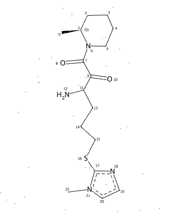 C[C@H]1CCCCN1C(=O)C(=O)C(N)CCCSc1nccn1C